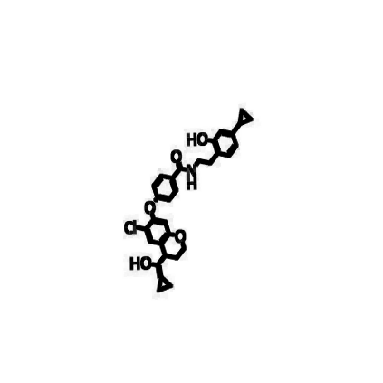 O=C(NCCc1ccc(C2CC2)cc1O)c1ccc(Oc2cc3c(cc2Cl)C(C(O)=C2CC2)CCO3)cc1